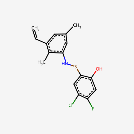 C=Cc1cc(C)cc(NSc2cc(Cl)c(F)cc2O)c1C